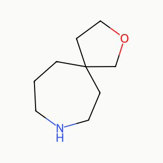 C1CNCCC2(C1)CCOC2